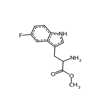 COC(=O)C(N)Cc1c[nH]c2ccc(F)cc12